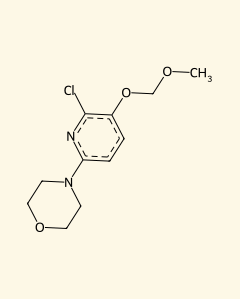 COCOc1ccc(N2CCOCC2)nc1Cl